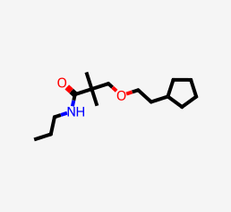 CCCNC(=O)C(C)(C)COCCC1CCCC1